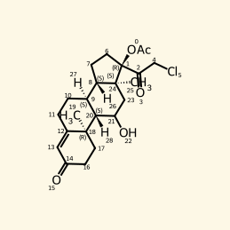 CC(=O)O[C@]1(C(=O)CCl)CC[C@H]2[C@@H]3CCC4=CC(=O)CC[C@]4(C)[C@H]3C(O)C[C@@]21C